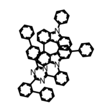 c1ccc(-c2ccc(-c3nc(-c4ccccc4-c4ccccc4)nc(-c4ccccc4-n4c5cc(-c6ccccc6)ccc5c5c(-c6cccc7c6c6ccccc6n7-c6ccccc6)cccc54)n3)cc2)cc1